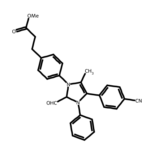 COC(=O)CCc1ccc(N2C(C)=C(c3ccc(C#N)cc3)N(c3ccccc3)C2C=O)cc1